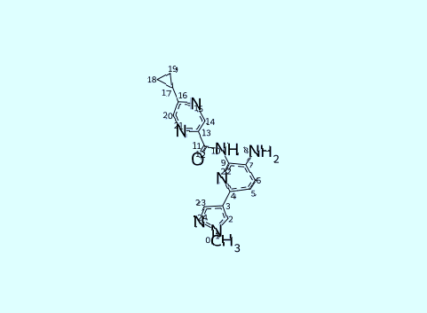 Cn1cc(-c2ccc(N)c(NC(=O)c3cnc(C4CC4)cn3)n2)cn1